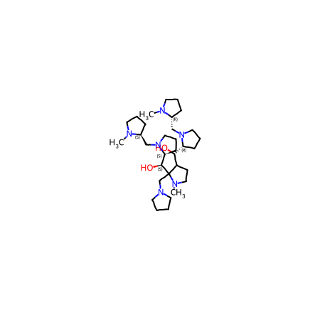 CN1CCC[C@@H]1CN1CCC[C@@H]1C(O)C1CCN(C)C1(CN1CCCC1)[C@@H](O)[C@@H]1CCCN1C[C@@H]1CCCN1C